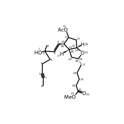 CC#CCCC(C)(O)C=C[C@H]1C(OC(C)=O)C[C@@H]2O[C@H](CCCCC(=O)OC)C[C@@H]21